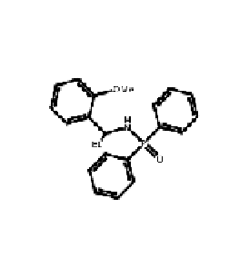 CCC(NP(=O)(c1ccccc1)c1ccccc1)c1ccccc1OC